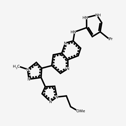 COCCn1cc(-c2nn(C)cc2-c2cnc3ccc(NC4=CC(C(C)C)=CNN4)nc3c2)cn1